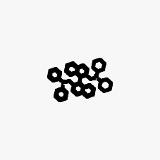 c1ccc(P(Cc2ccc3ccccc3c2-c2c(CP(C3CCCCC3)C3CCCCC3)ccc3ccccc23)c2ccccc2)cc1